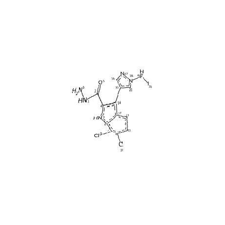 NNC(=O)c1[nH]c2c(Cl)c(Cl)ccc2c1-c1cnn(PI)c1